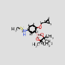 CSNc1ccc(OCC2CC2)c(B2OC(C)(C)C(C)(C)O2)c1